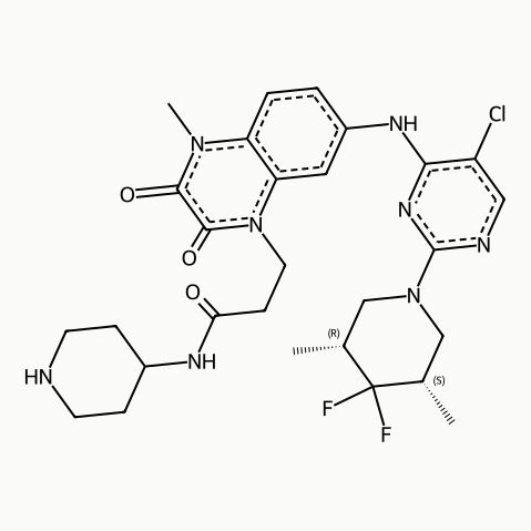 C[C@@H]1CN(c2ncc(Cl)c(Nc3ccc4c(c3)n(CCC(=O)NC3CCNCC3)c(=O)c(=O)n4C)n2)C[C@H](C)C1(F)F